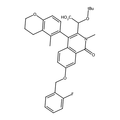 Cc1c(-c2c(C(OC(C)(C)C)C(=O)O)n(C)c(=O)c3cc(OCc4ccccc4F)ccc23)ccc2c1CCCO2